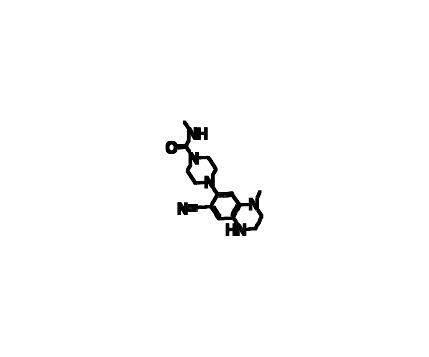 CNC(=O)N1CCN(c2cc3c(cc2C#N)NCCN3C)CC1